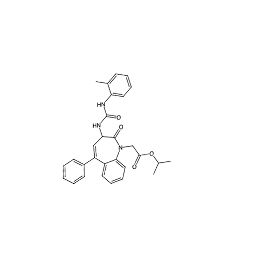 Cc1ccccc1NC(=O)NC1C=C(c2ccccc2)c2ccccc2N(CC(=O)OC(C)C)C1=O